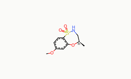 COc1ccc2c(c1)O[C@H](C)CNS2(=O)=O